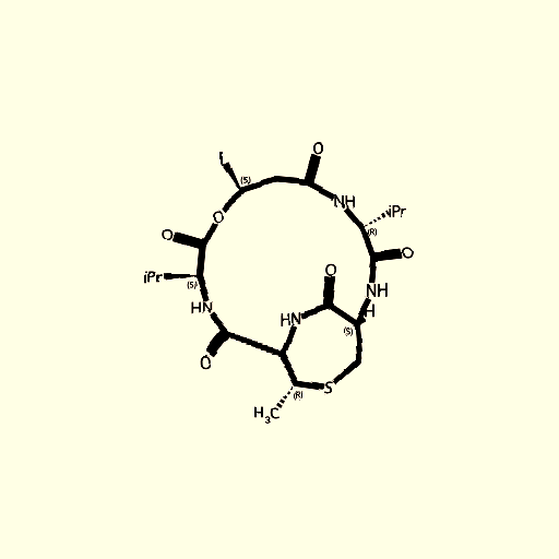 CC(C)[C@@H]1NC(=O)C2NC(=O)[C@@H](CS[C@@H]2C)NC(=O)[C@@H](C(C)C)NC(=O)C[C@H](I)OC1=O